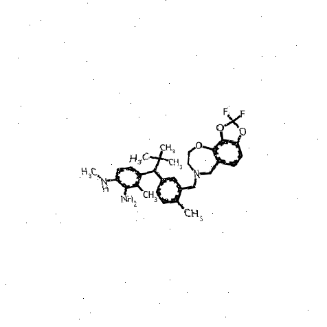 CNc1ccc(C(c2ccc(C)c(CN3CCOc4c(ccc5c4OC(F)(F)O5)C3)c2)C(C)(C)C)c(C)c1N